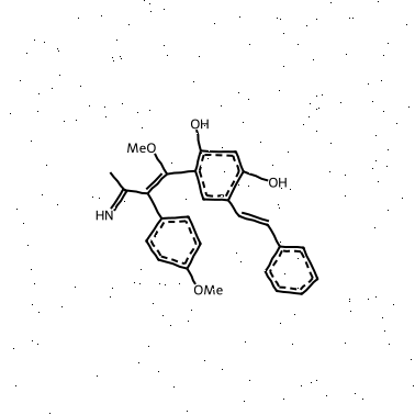 CO/C(=C(\C(C)=N)c1ccc(OC)cc1)c1cc(/C=C/c2ccccc2)c(O)cc1O